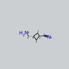 N#C[C@H]1C[C@H](CN)C1